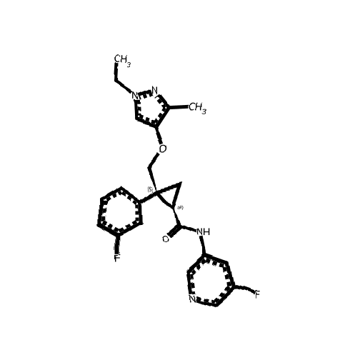 CCn1cc(OC[C@@]2(c3cccc(F)c3)C[C@H]2C(=O)Nc2cncc(F)c2)c(C)n1